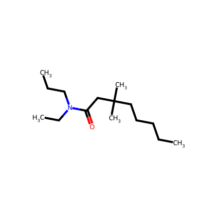 CCCCCC(C)(C)CC(=O)N(CC)CCC